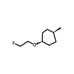 C[C@H]1CC[C@@H](OCCF)CC1